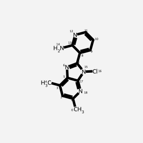 Cc1cc(C)c2nc(-c3cccnc3N)n(Cl)c2n1